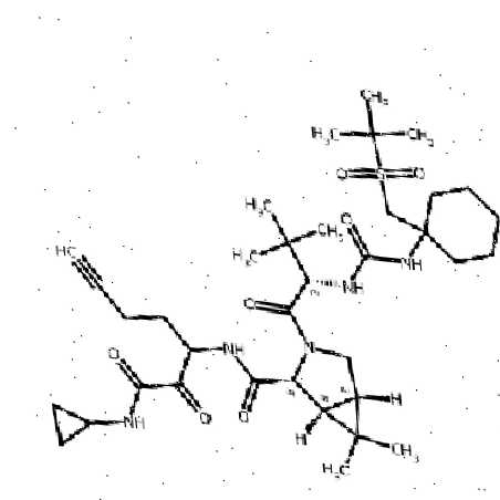 C#CCCC(NC(=O)[C@@H]1[C@@H]2[C@H](CN1C(=O)[C@@H](NC(=O)NC1(CS(=O)(=O)C(C)(C)C)CCCCC1)C(C)(C)C)C2(C)C)C(=O)C(=O)NC1CC1